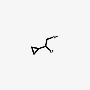 C[CH]C(CCCC)C1CC1